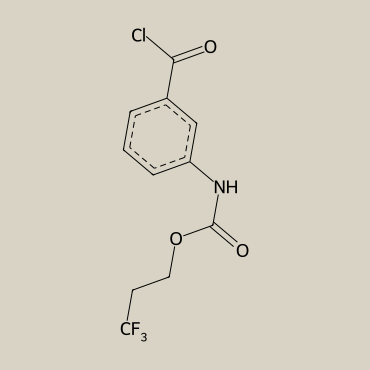 O=C(Nc1cccc(C(=O)Cl)c1)OCCC(F)(F)F